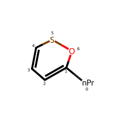 CCCC1=CC=CSO1